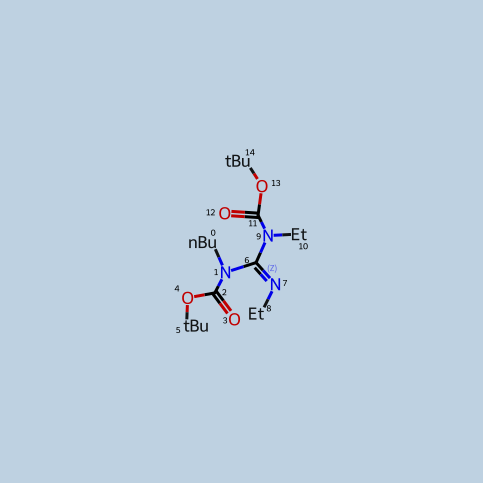 CCCCN(C(=O)OC(C)(C)C)/C(=N\CC)N(CC)C(=O)OC(C)(C)C